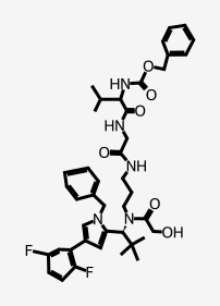 CC(C)C(NC(=O)OCc1ccccc1)C(=O)NCC(=O)NCCCN(C(=O)CO)[C@@H](c1cc(-c2cc(F)ccc2F)cn1Cc1ccccc1)C(C)(C)C